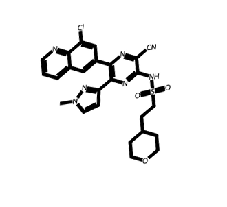 Cn1ccc(-c2nc(NS(=O)(=O)CCC3CCOCC3)c(C#N)nc2-c2cc(Cl)c3ncccc3c2)n1